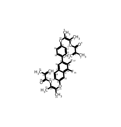 C=C(C)C(=O)OC(C)=C(C)Oc1ccc(-c2cc3ccc(OC(C)=C(C)OC(=O)C(=C)C)cc3c(F)c2F)cc1